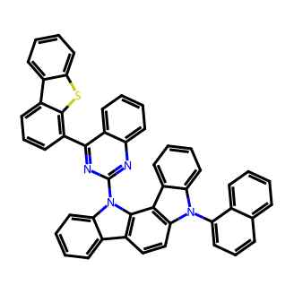 c1ccc2c(-n3c4ccccc4c4c3ccc3c5ccccc5n(-c5nc(-c6cccc7c6sc6ccccc67)c6ccccc6n5)c34)cccc2c1